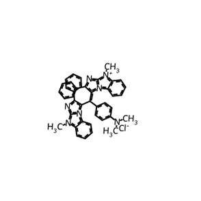 CN(C)c1ccc(C(c2c(-c3ccccc3)nc3n(C)c4ccccc4n23)=c2c(-c3ccccc3)nc3n2c2ccccc2[n+]3C)cc1.[Cl-]